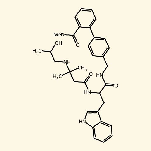 CNC(=O)c1ccccc1-c1ccc(CNC(=O)C(Cc2c[nH]c3ccccc23)NC(=O)CC(C)(C)NCC(C)O)cc1